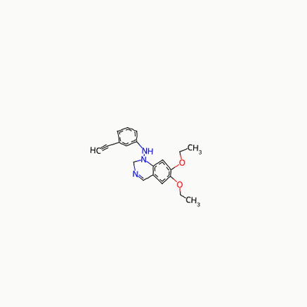 C#Cc1cccc(NN2CN=Cc3cc(OCC)c(OCC)cc32)c1